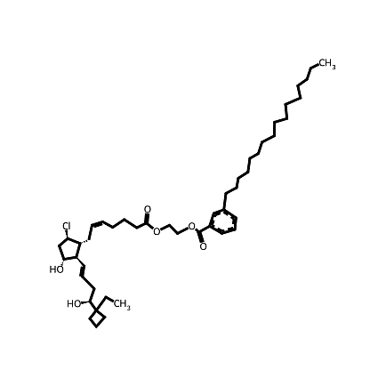 CCCCCCCCCCCCCCCCc1cccc(C(=O)OCCOC(=O)CCC/C=C\C[C@@H]2[C@@H](/C=C/C[C@H](O)C3(CC)CCC3)[C@H](O)C[C@H]2Cl)c1